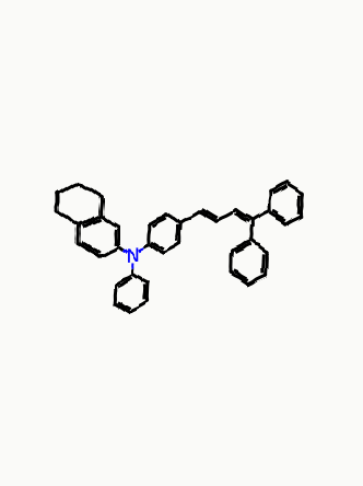 C(/C=C/c1ccc(N(c2ccccc2)c2ccc3c(c2)CCCC3)cc1)=C(c1ccccc1)c1ccccc1